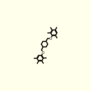 Cc1cc(OCC2CCC(COc3c(C)cc(C)c(C)c3C)CC2)c(C)c(C)c1C